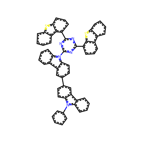 c1ccc(-n2c3ccccc3c3cc(-c4ccc5c(c4)c4ccccc4n5-c4nc(-c5cccc6c5sc5ccccc56)nc(-c5cccc6sc7ccccc7c56)n4)ccc32)cc1